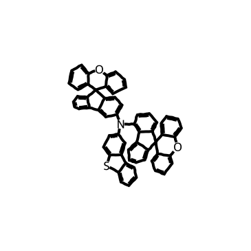 c1ccc2c(c1)Oc1ccccc1C21c2ccccc2-c2cc(N(c3ccc4sc5ccccc5c4c3)c3cccc4c3-c3ccccc3C43c4ccccc4Oc4ccccc43)ccc21